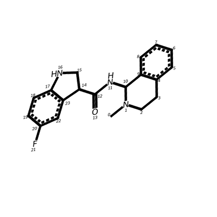 CN1CCc2ccccc2C1NC(=O)C1CNc2ccc(F)cc21